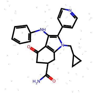 NC(=O)C1CC(=O)c2c(Nc3ccccc3)c(-c3ccncc3)n(CC3CC3)c2C1